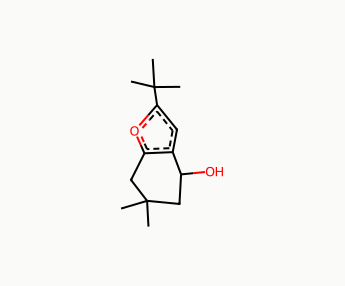 CC1(C)Cc2oc(C(C)(C)C)cc2C(O)C1